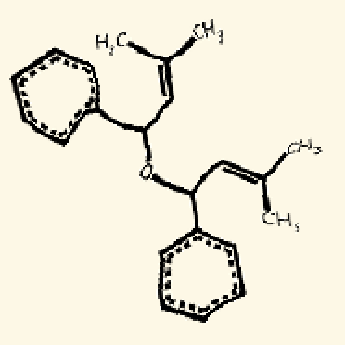 CC(C)=CC(OC(C=C(C)C)c1ccccc1)c1ccccc1